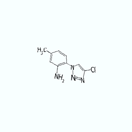 Cc1ccc(-n2cc(Cl)nn2)c(N)c1